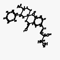 CC(=O)N1CCC2(CC(=O)c3cc(C=CC(=O)NO)ccc3O2)CC1c1ccccc1